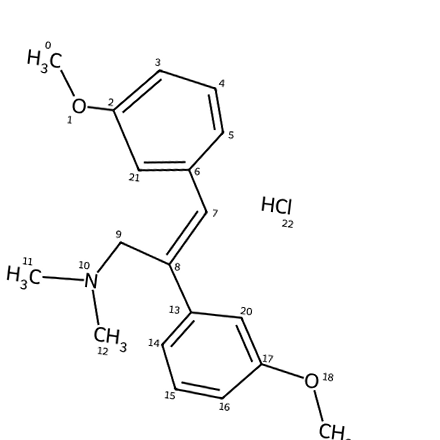 COc1cccc(C=C(CN(C)C)c2cccc(OC)c2)c1.Cl